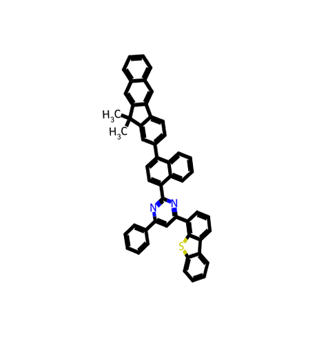 CC1(C)c2cc(-c3ccc(-c4nc(-c5ccccc5)cc(-c5cccc6c5sc5ccccc56)n4)c4ccccc34)ccc2-c2cc3ccccc3cc21